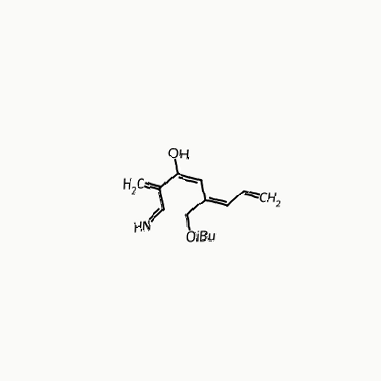 C=C/C=C(\C=C(\O)C(=C)C=N)COCC(C)C